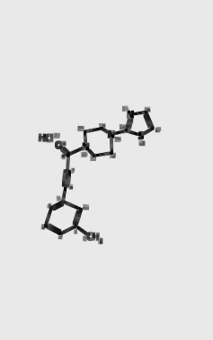 Cc1cccc(C#CC(=O)N2CCN(c3nccs3)CC2)c1.Cl